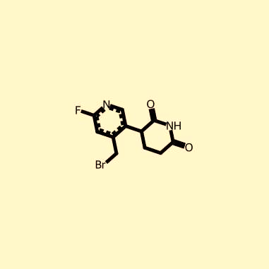 O=C1CCC(c2cnc(F)cc2CBr)C(=O)N1